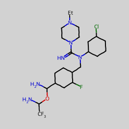 CCN1CCN(C(=N)N(CC2CCC(C(N)OC(N)C(F)(F)F)CC2F)C2CCCC(Cl)C2)CC1